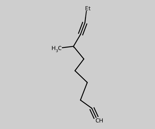 C#CCCCC[C](C)C#CCC